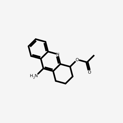 CC(=O)OC1CCCc2c1nc1ccccc1c2N